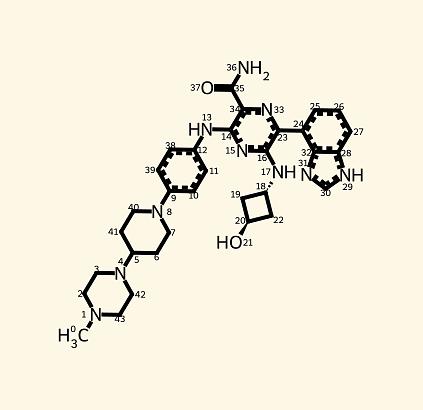 CN1CCN(C2CCN(c3ccc(Nc4nc(N[C@H]5C[C@H](O)C5)c(-c5cccc6[nH]cnc56)nc4C(N)=O)cc3)CC2)CC1